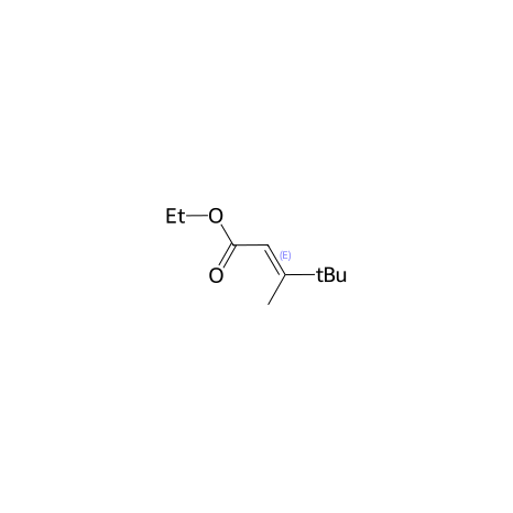 CCOC(=O)/C=C(\C)C(C)(C)C